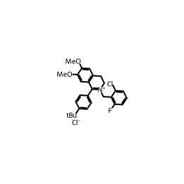 COc1cc2c(cc1OC)C(c1ccc(C(C)(C)C)cc1)=[N+](Cc1c(F)cccc1Cl)CC2.[Cl-]